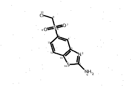 Nc1nc2cc(S(=O)(=O)CCl)ccc2s1